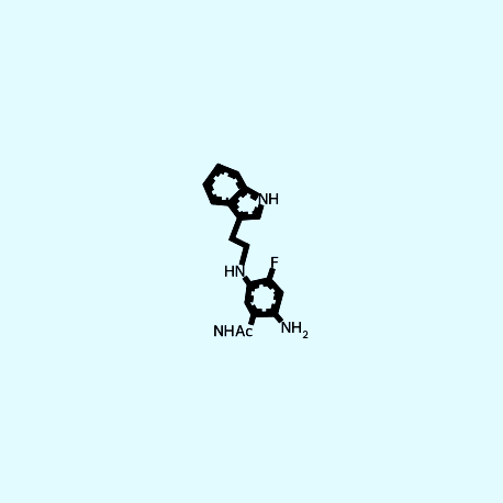 CC(=O)Nc1cc(NCCc2c[nH]c3ccccc23)c(F)cc1N